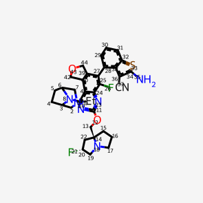 CCN1CC2CCC(C1)N2c1nc(OC[C@@]23CCCN2C[C@H](F)C3)nc2c(F)c(-c3cccc4sc(N)c(C#N)c34)c3c(c12)COC3